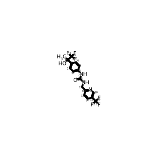 CC(O)(c1ccc(NC(=O)NCc2ccc(C(F)(F)F)cn2)cc1)C(F)(F)F